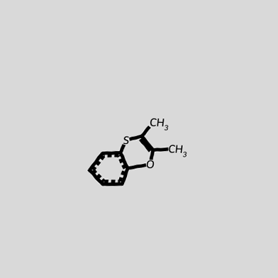 CC1=C(C)Sc2ccccc2O1